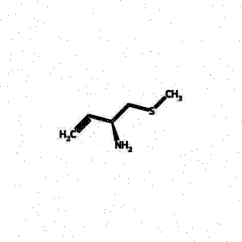 C=C[C@H](N)CSC